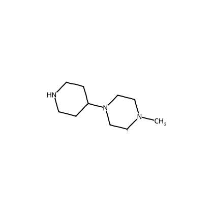 CN1[CH]CN(C2CCNCC2)CC1